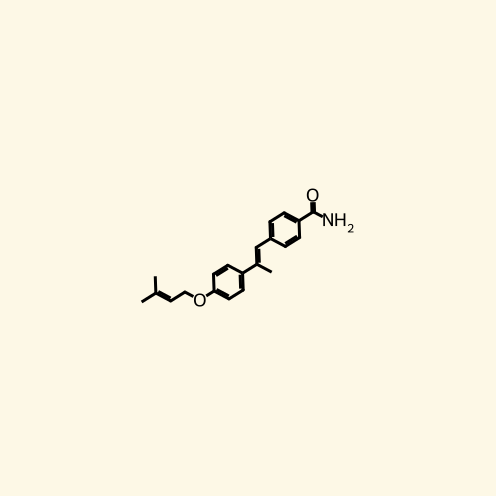 CC(C)=CCOc1ccc(C(C)=Cc2ccc(C(N)=O)cc2)cc1